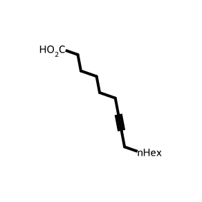 CCCCCCCC#CCCCCCC(=O)O